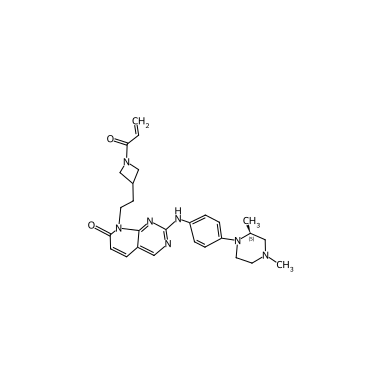 C=CC(=O)N1CC(CCn2c(=O)ccc3cnc(Nc4ccc(N5CCN(C)C[C@@H]5C)cc4)nc32)C1